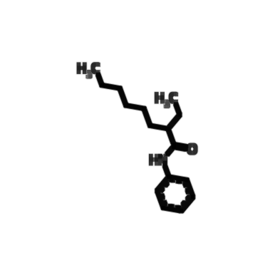 CCCCCCC(CC)C(=O)Nc1ccccc1